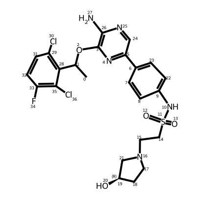 CC(Oc1nc(-c2ccc(NS(=O)(=O)CCN3CC[C@@H](O)C3)cc2)cnc1N)c1c(Cl)ccc(F)c1Cl